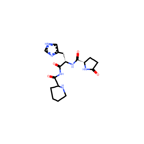 O=C1CC[C@@H](C(=O)N[C@@H](Cc2c[nH]cn2)C(=O)NC(=O)C2CCCCN2)N1